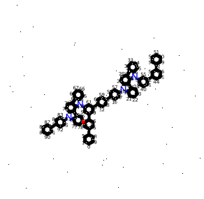 c1ccc(-c2ccc(-c3cc(-c4ccc(-c5ccc(-n6c7ccccc7c7c6ccc6c8ccccc8n(-c8cccc(-c9cccc(-c%10ccccc%10)c9)c8)c67)cc5)cc4)cc(-n4c5ccccc5c5ccc6c(c7ccccc7n6-c6ccc(-c7ccccc7)cc6)c54)c3)cc2)cc1